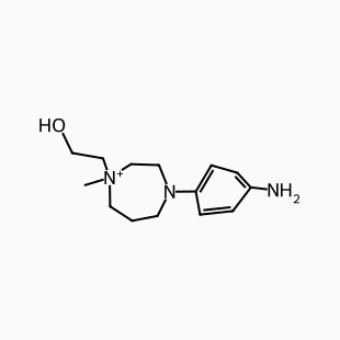 C[N+]1(CCO)CCCN(c2ccc(N)cc2)CC1